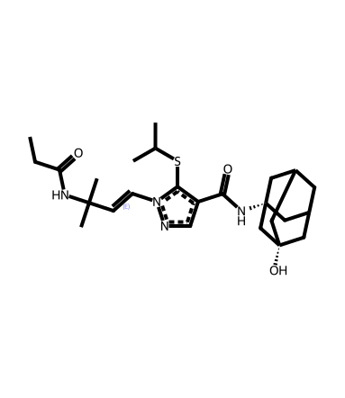 CCC(=O)NC(C)(C)/C=C/n1ncc(C(=O)N[C@]23CC4CC(C[C@@](O)(C4)C2)C3)c1SC(C)C